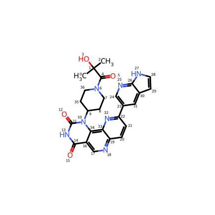 CC(C)(O)C(=O)N1CCC(n2c(=O)[nH]c(=O)c3cnc4ccc(-c5cnc6[nH]ccc6c5)nc4c32)CC1